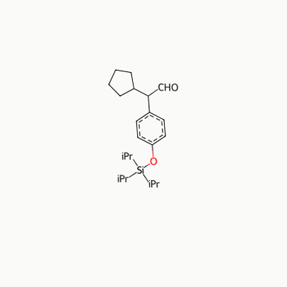 CC(C)[Si](Oc1ccc(C(C=O)C2CCCC2)cc1)(C(C)C)C(C)C